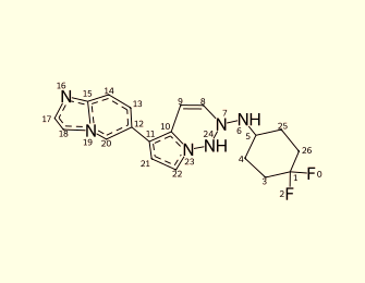 FC1(F)CCC(NN2C=Cc3c(-c4ccc5nccn5c4)ccn3N2)CC1